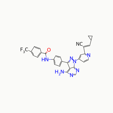 N#C/C(=C\C1CC1)c1cc(-n2nc(-c3ccc(NC(=O)c4ccc(C(F)(F)F)cc4)cc3)c3c(N)ncnc32)ccn1